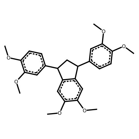 COc1ccc(C2CC(c3ccc(OC)c(OC)c3)c3cc(OC)c(OC)cc32)cc1OC